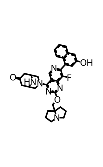 O=C1CC2CN(c3nc(OCC45CCCN4CCC5)nc4c(F)c(-c5cc(O)cc6ccccc56)ncc34)CC(C1)N2